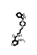 Nc1ccncc1C(=O)NCCCCN1CCN(c2nsc3ccccc23)CC1